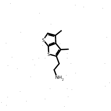 Cc1csc2sc(CCN)c(C)c12